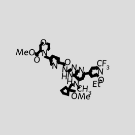 CCOc1cc(-c2cc(N(C)CC3(COC)CCCC3)c3[nH]c(NC(=O)c4ccc(CN5CCOCC5C(=O)OC)cn4)nc3n2)cc(C(F)(F)F)n1